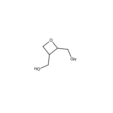 OCC1COC1CO